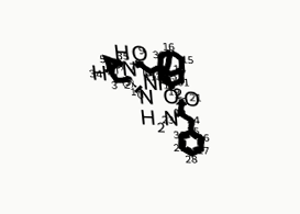 N#C[C@@H]1C[C@@H]2C[C@@H]2N1C(=O)[C@@H](N)C12CC3CC(CC(OC(=O)[C@H](N)Cc4ccccc4)(C3)C1)C2